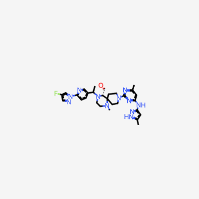 Cc1cc(Nc2cc(C)[nH]n2)nc(N2CCC3(CC2)[C@@H](C=O)N(C(C)c2ccc(-n4cc(F)cn4)nc2)CCN3C)n1